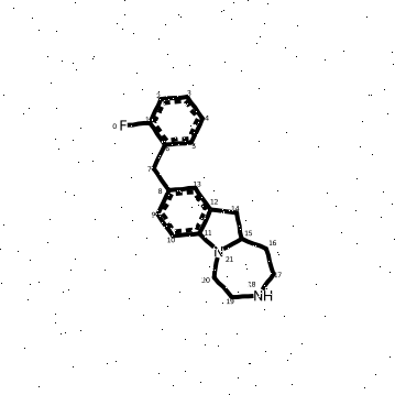 Fc1ccccc1Cc1ccc2c(c1)CC1CCNCCN21